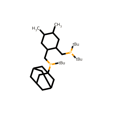 CC1CC(CP(C(C)(C)C)C(C)(C)C)C(CP(C(C)(C)C)C23CC4CC(CC(C4)C2)C3)CC1C